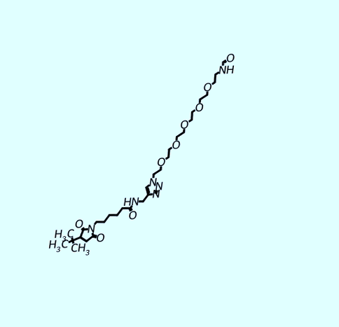 CC(C)(C)C1CC(=O)N(CCCCCC(=O)NCc2cn(CCOCCOCCOCCOCCOCCNC=O)nn2)C1=O